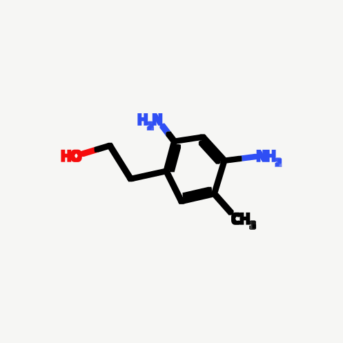 Cc1cc(CCO)c(N)cc1N